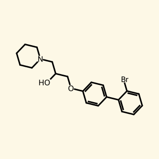 OC(COc1ccc(-c2ccccc2Br)cc1)CN1CCCCC1